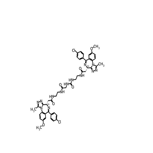 COc1ccc2c(c1)C(c1ccc(Cl)cc1)=N[C@@H](CC(=O)NCCNC(=O)CNC(=O)NCCNC(=O)C[C@@H]1N=C(c3ccc(Cl)cc3)c3cc(OC)ccc3-n3c(C)nnc31)c1nnc(C)n1-2